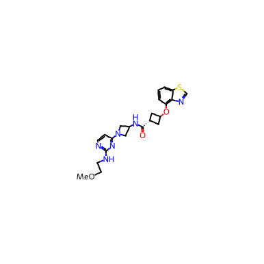 COCCNc1nccc(N2CC(NC(=O)[C@H]3C[C@H](Oc4cccc5scnc45)C3)C2)n1